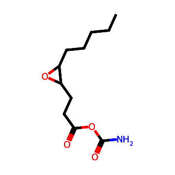 CCCCCC1OC1CCC(=O)OC(N)=O